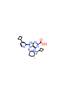 C[C@@H](Nc1nc(C(=O)O)nc2nc(-c3cc(C4CCC4)ccn3)n(C[C@H]3CC[C@H](C)CC3)c12)C1CCC1